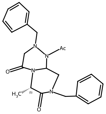 CC(=O)N1C2CN(Cc3ccccc3)C(=O)[C@H](C)N2C(=O)CN1Cc1ccccc1